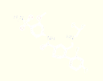 COc1cc(NC(=O)c2ccc(-c3ccc(F)cc3F)c(CNCC(F)F)c2)ccc1S(N)(=O)=O